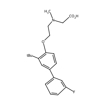 CN(CCOc1ccc(-c2cccc(F)c2)cc1C(C)(C)C)CC(=O)O